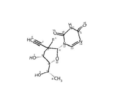 C#CC1(F)[C@@H](O)[C@@H]([C@H](C)O)O[C@H]1n1cnc(=O)[nH]c1=O